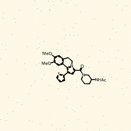 COc1cc2c(cc1OC)-c1c(-c3cccs3)cc(C(=O)N3CCCC(NC(C)=O)C3)n1CC2